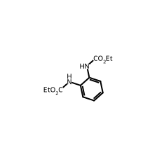 CCOC(=O)Nc1ccccc1NC(=O)OCC